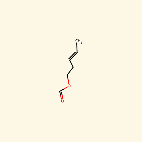 CC=CCCOC=O